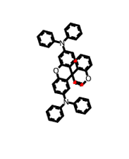 c1ccc(N(c2ccccc2)c2ccc3c(c2)Oc2ccc(N(c4ccccc4)c4ccccc4)cc2C32c3ccccc3Oc3ccccc32)cc1